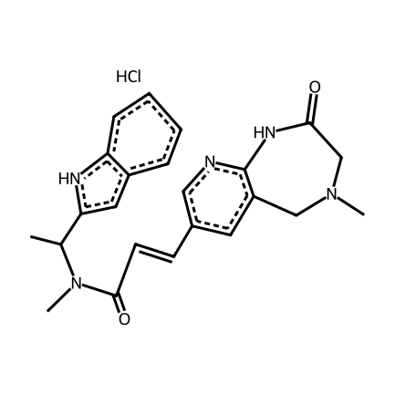 CC(c1cc2ccccc2[nH]1)N(C)C(=O)C=Cc1cnc2c(c1)CN(C)CC(=O)N2.Cl